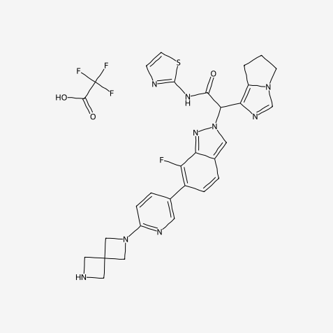 O=C(Nc1nccs1)C(c1ncn2c1CCC2)n1cc2ccc(-c3ccc(N4CC5(CNC5)C4)nc3)c(F)c2n1.O=C(O)C(F)(F)F